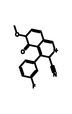 COC1C=CC2=C[N]C(C#N)C(c3cccc(F)c3)=C2C1=O